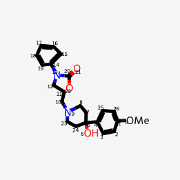 COc1ccc(C2(O)CCN(CC3CN(c4ccccc4)C(=O)O3)CC2)cc1